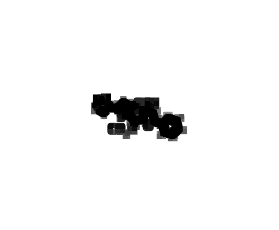 Cc1cc(-n2cnnn2)sc1C(C(=O)O)C(=O)C(C)(S)CCc1ccccc1